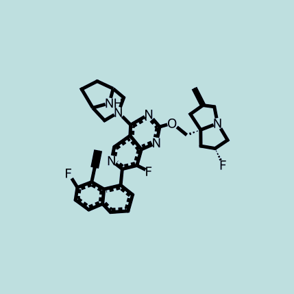 C#Cc1c(F)ccc2cccc(-c3ncc4c(N5CC6CCC(C5)N6)nc(OC[C@]56CC(=C)CN5C[C@H](F)C6)nc4c3F)c12